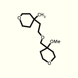 COC1(COCCC2(C)CCOCC2)CCOCC1